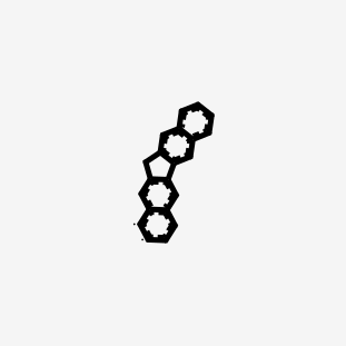 [c]1[c]c2cc3c(cc2cc1)-c1cc2ccccc2cc1C3